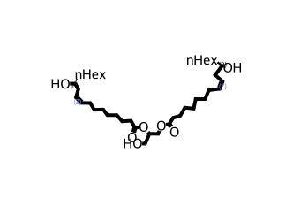 CCCCCC[C@@H](O)C/C=C\CCCCCCCC(=O)OCC(CO)OC(=O)CCCCCCC/C=C\C[C@H](O)CCCCCC